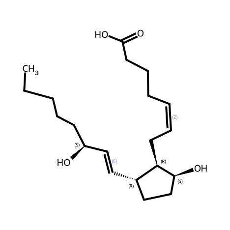 CCCCC[C@H](O)/C=C/[C@H]1CC[C@H](O)[C@@H]1C/C=C\CCCC(=O)O